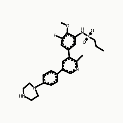 CCCS(=O)(=O)Nc1cc(-c2cc(-c3ccc(N4CCNCC4)cc3)cnc2C)cc(F)c1OC